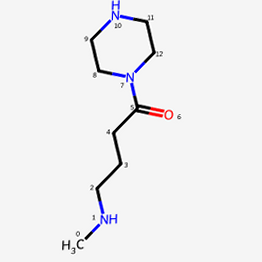 CNCCCC(=O)N1CCNCC1